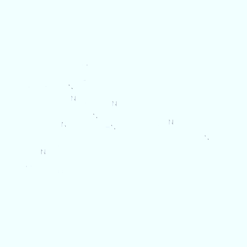 CN(C)CCn1ccc2cc(Nc3ncc4c(=O)n(CC5CC5)n(-c5cccc(C6(N(C)S(C)(=O)=O)CC6)n5)c4n3)ccc21